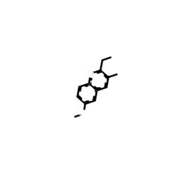 CCc1nc2ccc(OC)cc2cc1C